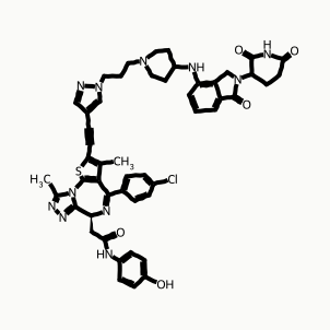 Cc1c(C#Cc2cnn(CCCN3CCC(Nc4cccc5c4CN(C4CCC(=O)NC4=O)C5=O)CC3)c2)sc2c1C(c1ccc(Cl)cc1)=N[C@@H](CC(=O)Nc1ccc(O)cc1)c1nnc(C)n1-2